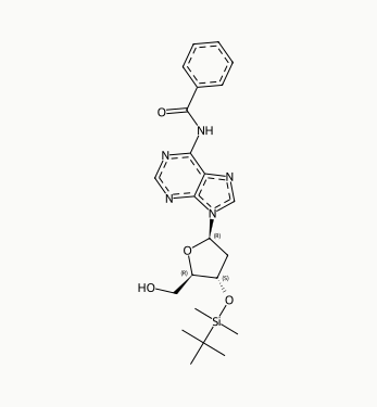 CC(C)(C)[Si](C)(C)O[C@H]1C[C@H](n2cnc3c(NC(=O)c4ccccc4)ncnc32)O[C@@H]1CO